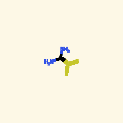 NC(N)=S(=S)=S